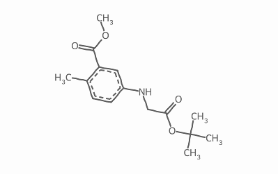 COC(=O)c1cc(NCC(=O)OC(C)(C)C)ccc1C